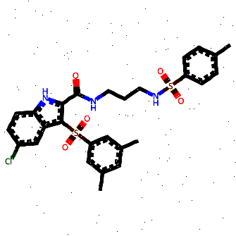 Cc1ccc(S(=O)(=O)NCCCNC(=O)c2[nH]c3ccc(Cl)cc3c2S(=O)(=O)c2cc(C)cc(C)c2)cc1